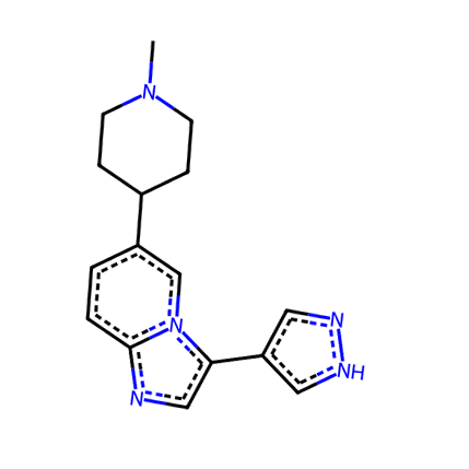 CN1CCC(c2ccc3ncc(-c4cn[nH]c4)n3c2)CC1